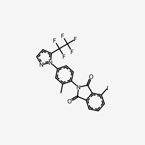 Cc1cc(-n2nccc2C(F)(F)C(F)(F)F)ccc1N1C(=O)c2cccc(I)c2C1=O